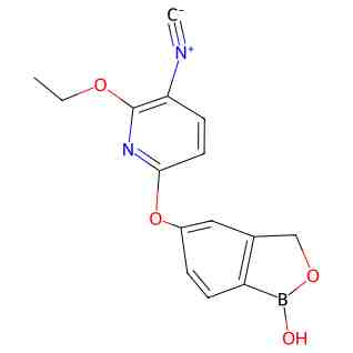 [C-]#[N+]c1ccc(Oc2ccc3c(c2)COB3O)nc1OCC